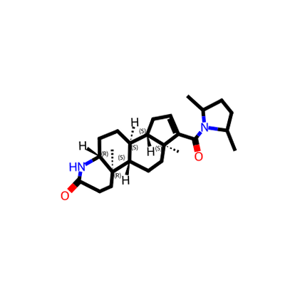 CC1CCC(C)N1C(=O)C1=CC[C@H]2[C@@H]3CC[C@H]4NC(=O)CC[C@]4(C)[C@H]3CC[C@]12C